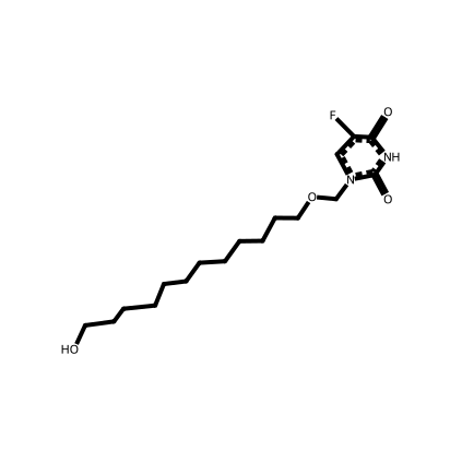 O=c1[nH]c(=O)n(COCCCCCCCCCCCCO)cc1F